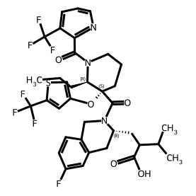 CCC[C@H]1N(C(=O)c2ncccc2C(F)(F)F)CCC[C@@]1(Oc1csc(C(F)(F)F)c1)C(=O)N1Cc2ccc(F)cc2C[C@H]1CC(C(=O)O)C(C)C